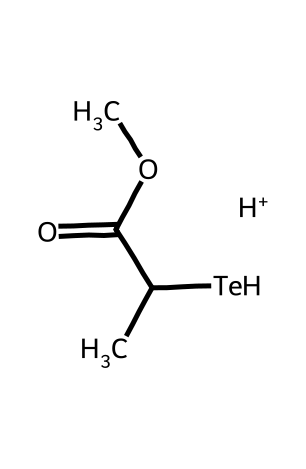 COC(=O)C(C)[TeH].[H+]